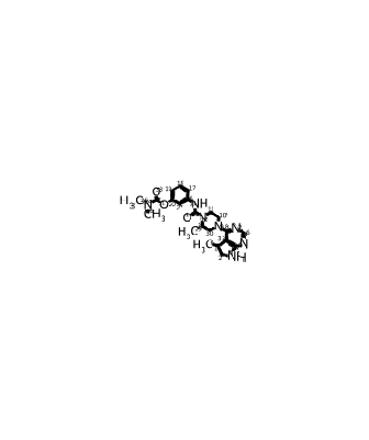 CC1CNc2ncnc(N3CCN(C(=O)Nc4cccc(OC(=O)N(C)C)c4)[C@@H](C)C3)c21